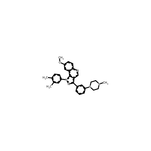 COc1ccc2ncc3c(-c4cccc(N5CCN(C)CC5)c4)nn(-c4ccc(C)c(C)c4)c3c2c1